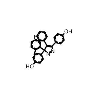 Cc1ccc(F)cc1C1(c2ccc(O)cc2)N=NC(c2ccc(O)cc2)=C1c1ccccc1